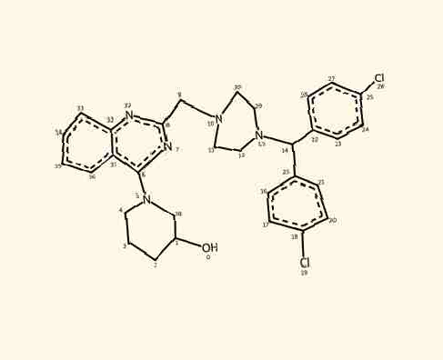 OC1CCCN(c2nc(CN3CCN(C(c4ccc(Cl)cc4)c4ccc(Cl)cc4)CC3)nc3ccccc23)C1